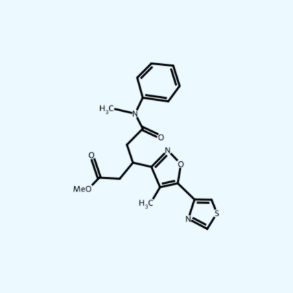 COC(=O)CC(CC(=O)N(C)c1ccccc1)c1noc(-c2cscn2)c1C